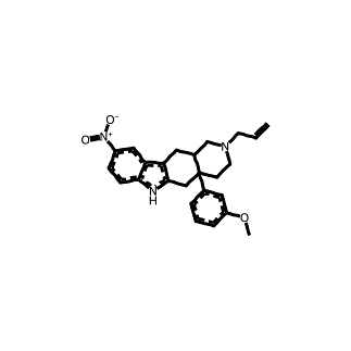 C=CCN1CCC2(c3cccc(OC)c3)Cc3[nH]c4ccc([N+](=O)[O-])cc4c3CC2C1